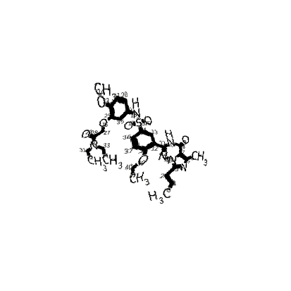 CCCc1nc(C)c2c(=O)[nH]c(-c3cc(S(=O)(=O)Nc4ccc(OC)c(OCC(=O)N(CC)CC)c4)ccc3OCC)nn12